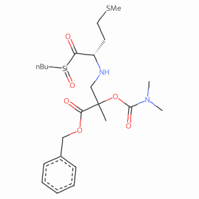 CCCC[Si](=O)C(=O)[C@H](CCSC)NCC(C)(OC(=O)N(C)C)C(=O)OCc1ccccc1